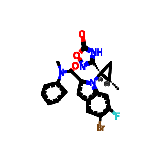 C[C@H]1C[C@]1(c1noc(=O)[nH]1)n1c(C(=O)N(C)c2ccccc2)cc2cc(Br)c(F)cc21